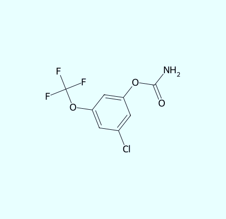 NC(=O)Oc1cc(Cl)cc(OC(F)(F)F)c1